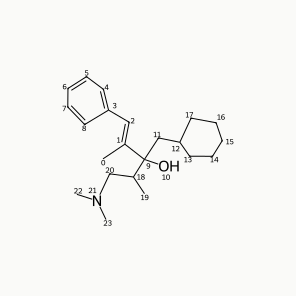 C/C(=C\c1ccccc1)C(O)(CC1CCCCC1)C(C)CN(C)C